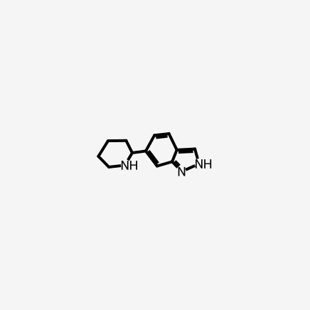 c1cc2c[nH]nc2cc1C1CCCCN1